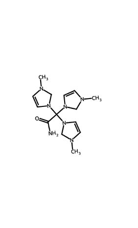 CN1C=CN(C(C(N)=O)(N2C=CN(C)C2)N2C=CN(C)C2)C1